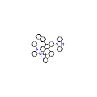 CNc1ccccc1N(c1ccccc1)c1ccc2c(-c3cccc4c3C(C)(C)c3ccccc3-4)c3cc(N4c5ccccc5N(C)c5ccccc54)ccc3c(-c3ccc4ccccc4c3)c2c1